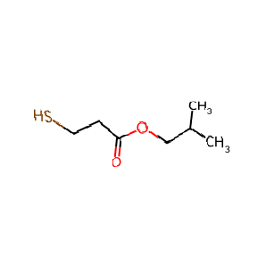 CC(C)COC(=O)CCS